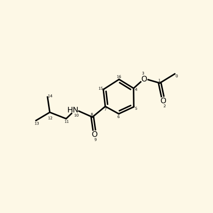 CC(=O)Oc1ccc(C(=O)NCC(C)C)cc1